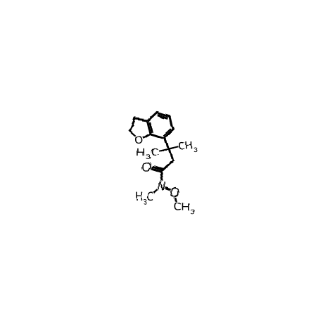 CON(C)C(=O)CC(C)(C)c1cccc2c1OCC2